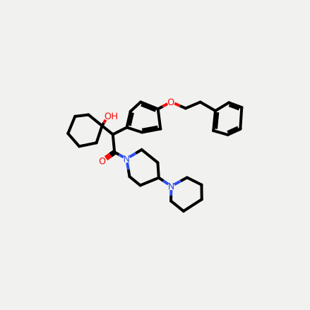 O=C(C(c1ccc(OCCc2ccccc2)cc1)C1(O)CCCCC1)N1CCC(N2CCCCC2)CC1